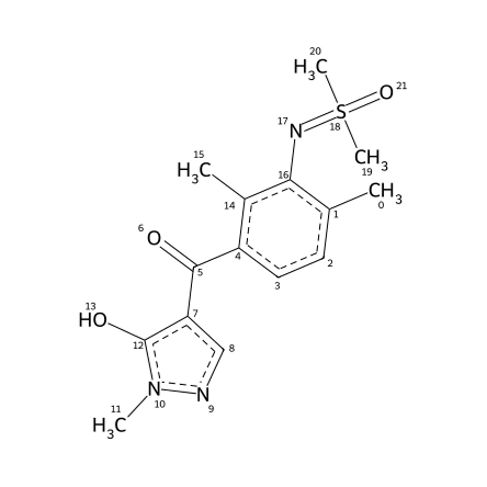 Cc1ccc(C(=O)c2cnn(C)c2O)c(C)c1N=S(C)(C)=O